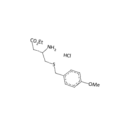 CCOC(=O)CC(N)CSCc1ccc(OC)cc1.Cl